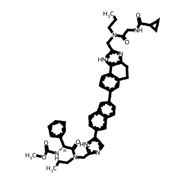 CCCN(Cc1nc2c([nH]1)-c1ccc(-c3ccc4cc(-c5cnc(CN(CCC)C(=O)[C@H](NC(=O)OC)c6ccccc6)[nH]5)ccc4c3)cc1CC2)C(=O)CNC(=O)C1CC1